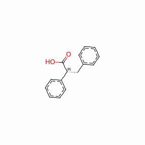 O=C(O)[C@H](Cc1ccccc1)c1ccccc1